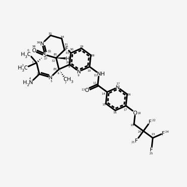 CC1(C)C(N)=N[C@](C)(c2nc(NC(=O)c3ccc(OCC(F)(F)C(F)F)cn3)ccc2F)[C@H]2CCCN=[S@]21=O